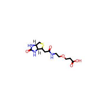 O=C(O)CCOCCNC(=O)CC1SC[C@@H]2NC(=O)N[C@H]12